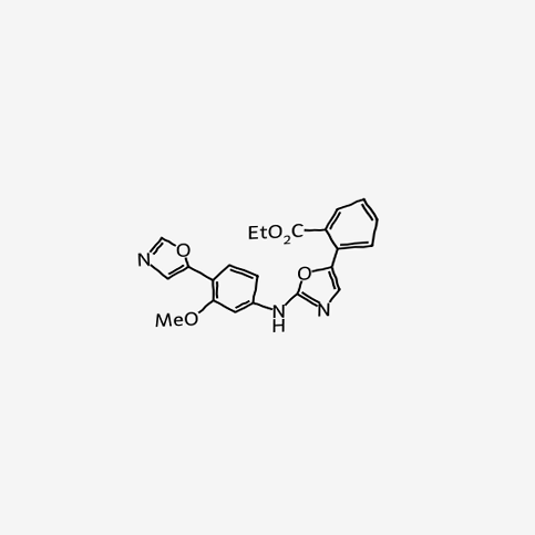 CCOC(=O)c1ccccc1-c1cnc(Nc2ccc(-c3cnco3)c(OC)c2)o1